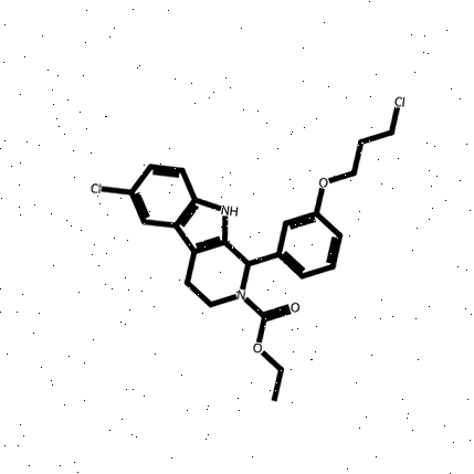 CCOC(=O)N1CCc2c([nH]c3ccc(Cl)cc23)C1c1cccc(OCCCCl)c1